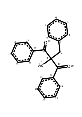 CC(=O)C(Cc1ccccc1)(C(=O)c1ccccc1)C(=O)c1ccccc1